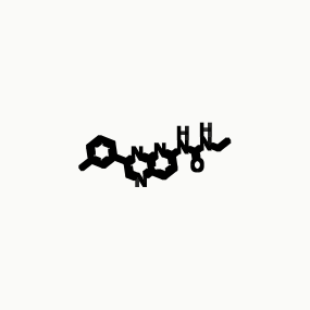 CCNC(=O)Nc1ccc2ncc(-c3cccc(C)c3)nc2n1